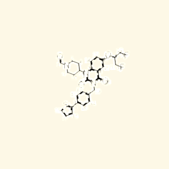 O=CN1CCC(n2c(=O)n(Cc3ccc(-c4cccs4)cc3)c(=O)c3cc(OC(CF)CF)ccc32)CC1